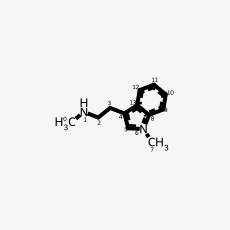 CNCCc1cn(C)c2ccccc12